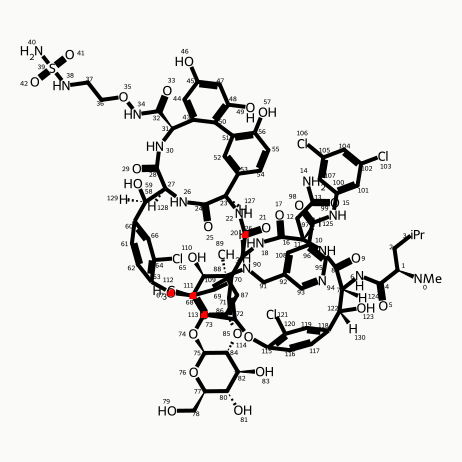 CN[C@H](CC(C)C)C(=O)N[C@H]1C(=O)N[C@@H](CC(N)=O)C(=O)N[C@H]2C(=O)N[C@H]3C(=O)N[C@H](C(=O)N[C@@H](C(=O)NOCCNS(N)(=O)=O)c4cc(O)cc(O)c4-c4cc3ccc4O)[C@H](O)c3ccc(c(Cl)c3)Oc3cc2cc(c3O[C@@H]2O[C@H](CO)[C@@H](O)[C@H](O)[C@H]2O[C@H]2C[C@](C)(NCc3cncc(C(=O)Nc4cc(Cl)cc(Cl)c4)c3)[C@H](O)[C@H](C)O2)Oc2ccc(cc2Cl)[C@H]1O